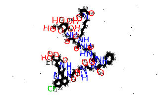 CC[C@@]1(O)C(=O)OCc2c1cc1n(c2=O)Cc2c-1nc1cc(Cl)cc3c1c2[C@H](NC(=O)COCNC(=O)CNC(=O)[C@H](Cc1ccccc1)NC(=O)CNC(=O)CNC(=O)[C@H](CCC(=O)NC[C@@H]1O[C@H](CO)[C@@H](O)[C@H](O)[C@H]1O)NC(=O)CCCCCN1C(=O)C=CC1=O)CC3